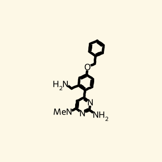 CNc1cc(-c2ccc(OCc3ccccc3)cc2CN)nc(N)n1